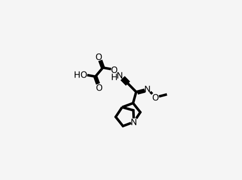 CO/N=C(/C#N)C1CN2CCC1C2.O=C(O)C(=O)O